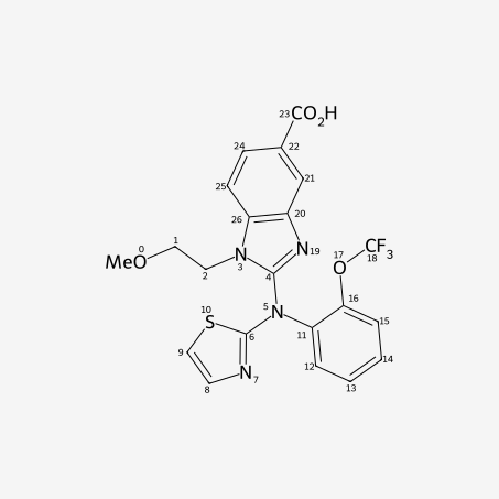 COCCn1c(N(c2nccs2)c2ccccc2OC(F)(F)F)nc2cc(C(=O)O)ccc21